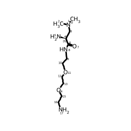 CN(C)C[C@H](N)C(=O)NCCOCCOCCN